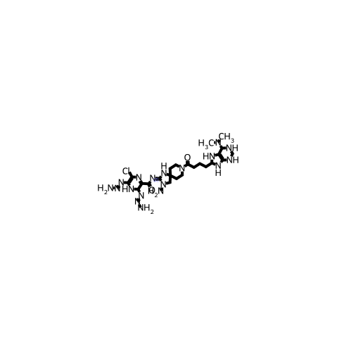 CN(C)C1NCNC2=C1NC(CCCC(=O)N1CCC3(CC1)CN(N)/C(=N\C(=O)C1=NC(Cl)=C(N=NN)NC1N=NN)N3)N2